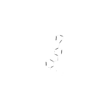 O=C(O)Oc1ncccc1Cc1ccc(-c2ccccc2)c(F)c1